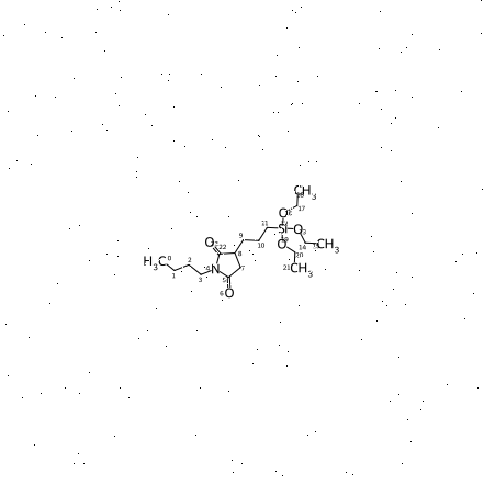 CCCCN1C(=O)CC(CCC[Si](OCC)(OCC)OCC)C1=O